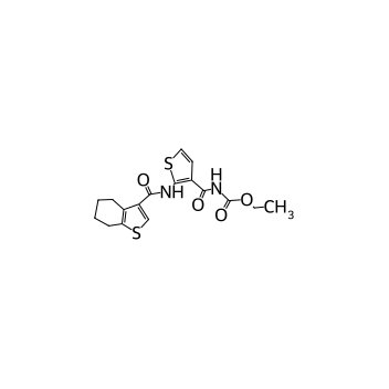 CCOC(=O)NC(=O)c1ccsc1NC(=O)c1csc2c1CCCC2